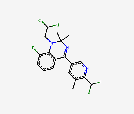 Cc1cc(C2=NC(C)(C)N(CC(Cl)Cl)c3c(F)cccc32)cnc1C(F)F